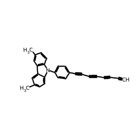 C#CC#CC#CC#Cc1ccc(-n2c3ccc(C)cc3c3cc(C)ccc32)cc1